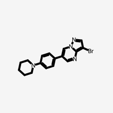 Brc1cnn2cc(-c3ccc(N4CCCCC4)cc3)cnc12